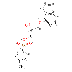 Cc1ccc(S(=O)(=O)OCC(O)COc2cccc3c2CC=C3)cc1